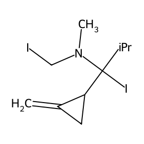 C=C1CC1C(I)(C(C)C)N(C)CI